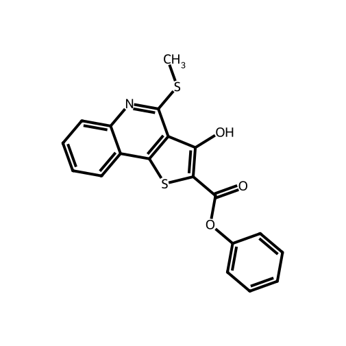 CSc1nc2ccccc2c2sc(C(=O)Oc3ccccc3)c(O)c12